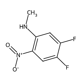 CNc1cc(F)c(F)cc1[N+](=O)[O-]